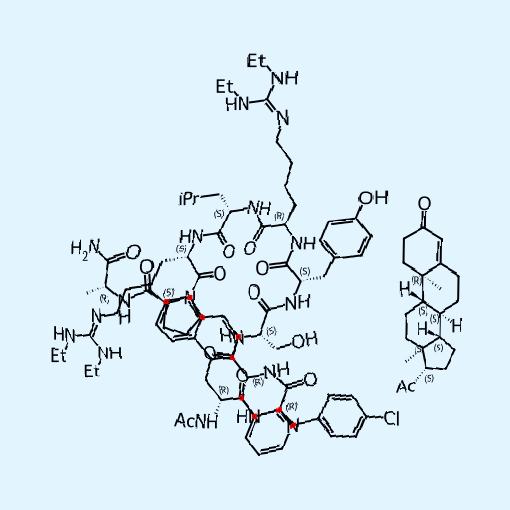 CC(=O)[C@H]1CC[C@H]2[C@@H]3CCC4=CC(=O)CC[C@]4(C)[C@H]3CC[C@]12C.CCNC(=NCCCC[C@H](NC(=O)[C@H](CC(C)C)NC(=O)[C@@H](CCCCN=C(NCC)NCC)NC(=O)[C@H](Cc1ccc(O)cc1)NC(=O)[C@H](CO)NC(=O)[C@@H](Cc1cccnc1)NC(=O)[C@@H](Cc1ccc(Cl)cc1)NC(=O)[C@@H](Cc1cccc2ccccc12)NC(C)=O)C(=O)N1CCC[C@H]1C(=O)N[C@H](C)C(N)=O)NCC